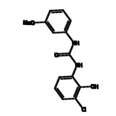 COc1cccc(NC(=O)Nc2cccc(Cl)c2O)c1